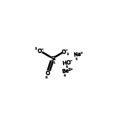 O=[Si]([O-])[O-].[Be+2].[Na+].[OH-]